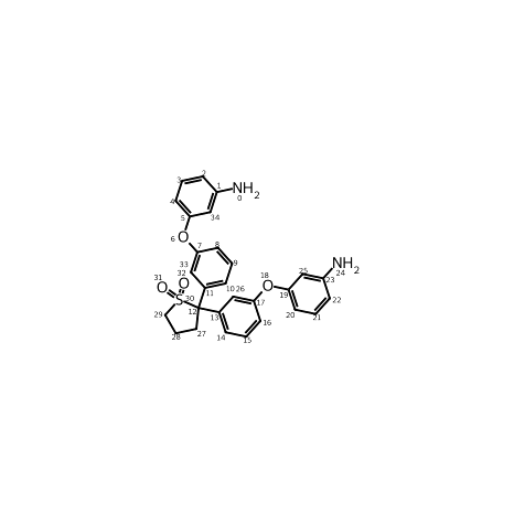 Nc1cccc(Oc2cccc(C3(c4cccc(Oc5cccc(N)c5)c4)CCCS3(=O)=O)c2)c1